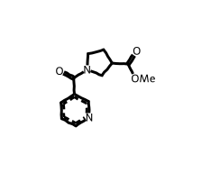 COC(=O)C1CCN(C(=O)c2cccnc2)C1